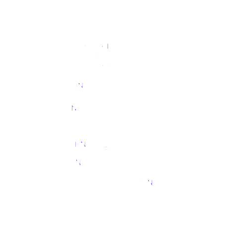 CS(=O)(=O)CCNc1ccc(CNc2nccc(-c3ccc4ncccc4c3)c2F)cn1